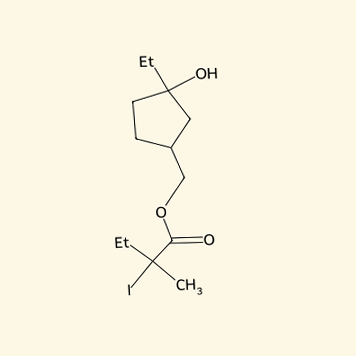 CCC1(O)CCC(COC(=O)C(C)(I)CC)C1